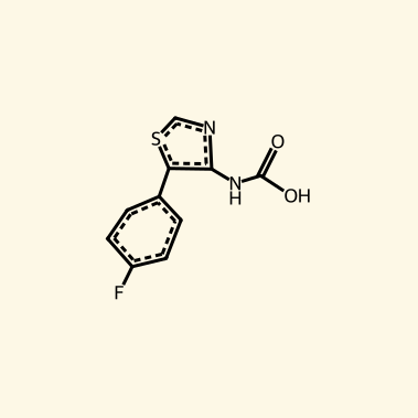 O=C(O)Nc1ncsc1-c1ccc(F)cc1